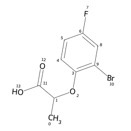 CC(Oc1ccc(F)cc1Br)C(=O)O